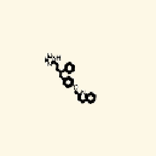 c1ccc(C(CCc2nnn[nH]2)Cc2ccc(OCc3ccc4ccccc4n3)cc2)cc1